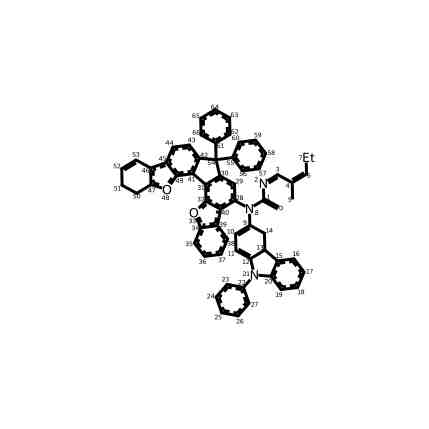 C=C(/N=C\C(C)=C/CC)N(C1=CC=C2C(C1)c1ccccc1N2c1ccccc1)c1cc2c(c3oc4ccccc4c13)-c1c(ccc3c4c(oc13)CCC=C4)C2(c1ccccc1)c1ccccc1